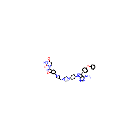 Nc1ncnc2c1c(-c1ccc(Oc3ccccc3)cc1)nn2C1CCC(N2CCN(CC3CN(c4ccc5c(N6CCC(=O)NC6=O)noc5c4)C3)CC2)CC1